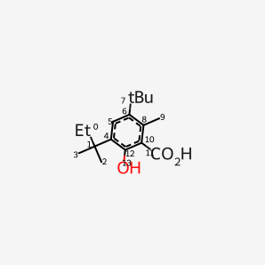 CCC(C)(C)c1cc(C(C)(C)C)c(C)c(C(=O)O)c1O